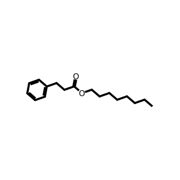 CCCCCCCCOC(=O)CCc1ccccc1